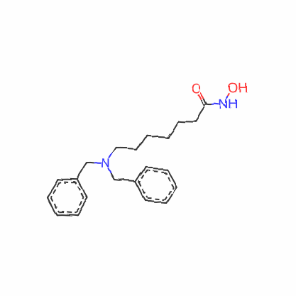 O=C(CCCCCCN(Cc1ccccc1)Cc1ccccc1)NO